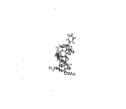 CCCCC(OP(=O)(NCc1ccccc1)OC[C@H]1OC(n2cnc3c(OC)nc(N)nc32)[C@](C)(N=[N+]=[N-])[C@@H]1O)c1ccccc1